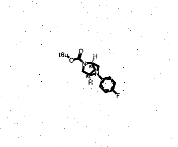 CC(C)(C)OC(=O)N1C[C@H]2C[C@@H]1CN2c1ccc(F)cc1